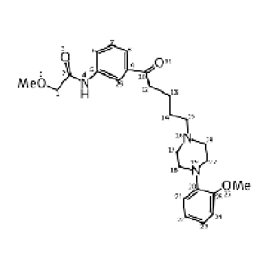 COCC(=O)Nc1cccc(C(=O)CCCCN2CCN(c3ccccc3OC)CC2)c1